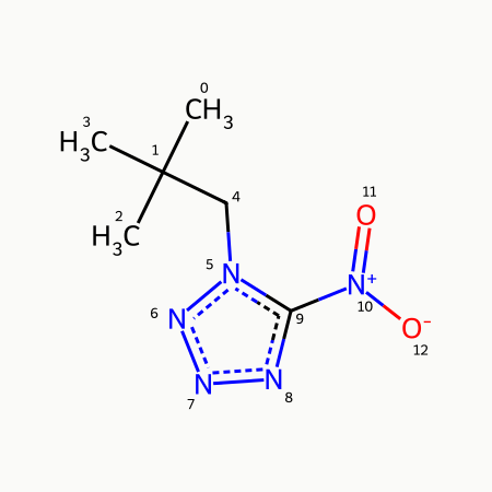 CC(C)(C)Cn1nnnc1[N+](=O)[O-]